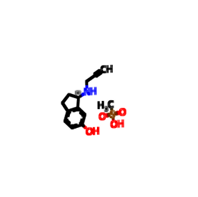 C#CCN[C@@H]1CCc2ccc(O)cc21.CS(=O)(=O)O